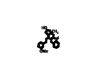 COc1cccc(CCC2=C3C[C@H](O)C[C@]3(C)CC(SI)=C2Cc2ccccc2)c1